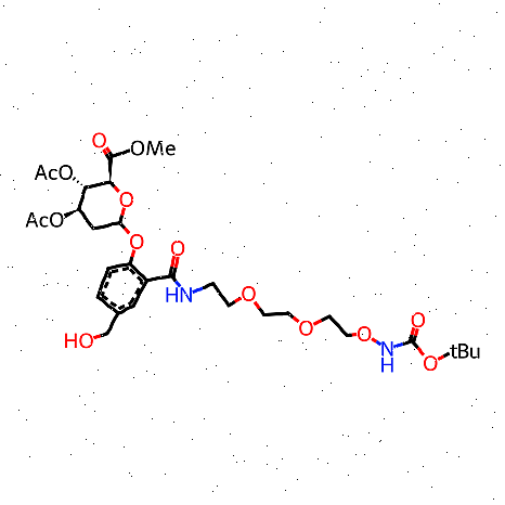 COC(=O)[C@H]1OC(Oc2ccc(CO)cc2C(=O)NCCOCCOCCONC(=O)OC(C)(C)C)C[C@@H](OC(C)=O)[C@@H]1OC(C)=O